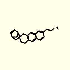 CCCc1ccc2cc3c(cc2c1)CC1(CC3)CC2C=CC1C2